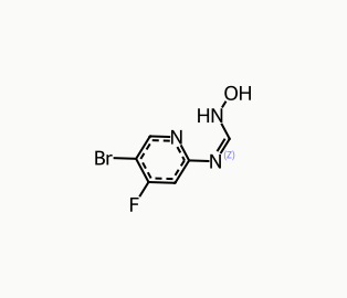 ON/C=N\c1cc(F)c(Br)cn1